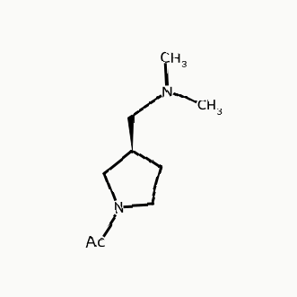 CC(=O)N1CC[C@H](CN(C)C)C1